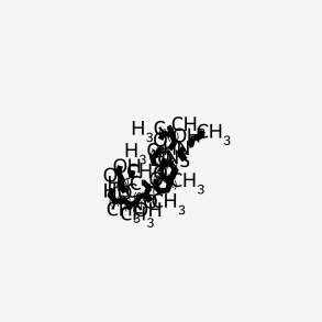 CCCCNC(=S)N[C@@H]1C=C[C@]2(O[C@H](C(CC)C(=O)[C@@H](C)[C@@H](O)[C@H](C)[C@@H]3O[C@@H]([C@@H](CC)C(=O)O)CC[C@@H]3C)[C@@H](C)C[C@H]2C)O[C@@]12CC[C@@](C)([C@H]1CC[C@](O)(CC)[C@H](C)O1)O2